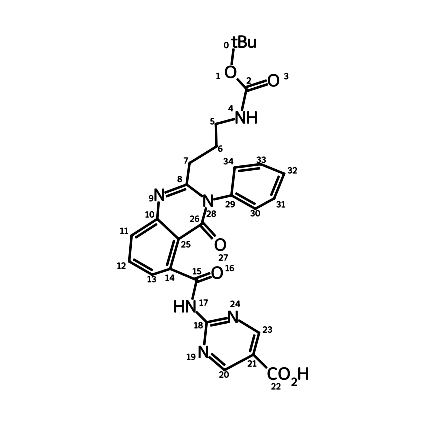 CC(C)(C)OC(=O)NCCCc1nc2cccc(C(=O)Nc3ncc(C(=O)O)cn3)c2c(=O)n1-c1ccccc1